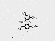 CCCCNc1nc(N)nc(C)c1Sc1cc(CCl)ccc1OC